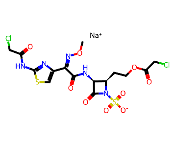 CON=C(C(=O)N[C@@H]1C(=O)N(S(=O)(=O)[O-])[C@@H]1CCOC(=O)CCl)c1csc(NC(=O)CCl)n1.[Na+]